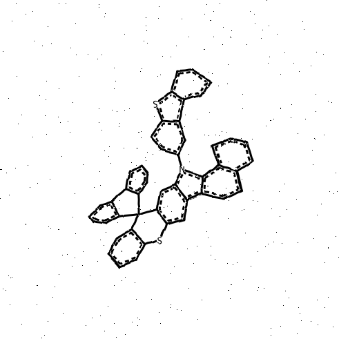 c1ccc2c(c1)Sc1cc3c4ccc5ccccc5c4n(-c4ccc5sc6ccccc6c5c4)c3cc1C21c2ccccc2-c2ccccc21